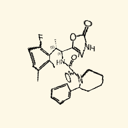 Cc1ccc(F)c([C@H](C)[C@H](NS(=O)(=O)N2CCCCC2c2ccccc2)c2n[nH]c(=O)o2)c1C